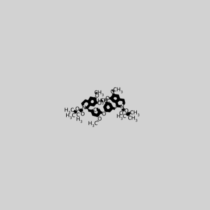 COc1cc2c(cc1OC)[C@@H](Cc1cccc(Oc3ccc(C[C@@H]4c5cc(OC)c(OC)cc5CCN4C(=O)OC(C)(C)C)cc3OC)c1)N(C(=O)OC(C)(C)C)CC2